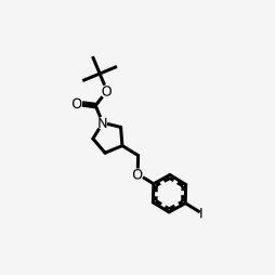 CC(C)(C)OC(=O)N1CCC(COc2ccc(I)cc2)C1